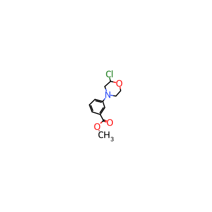 COC(=O)c1cccc(N2CCOC(Cl)C2)c1